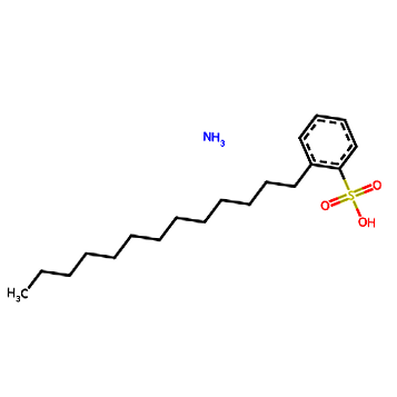 CCCCCCCCCCCCCc1ccccc1S(=O)(=O)O.N